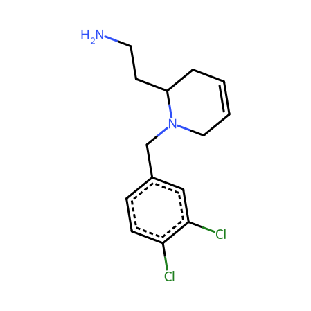 NCCC1CC=CCN1Cc1ccc(Cl)c(Cl)c1